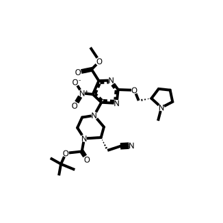 COC(=O)c1nc(OC[C@@H]2CCCN2C)nc(N2CCN(C(=O)OC(C)(C)C)[C@@H](CC#N)C2)c1[N+](=O)[O-]